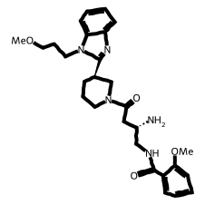 COCCCn1c([C@@H]2CCCN(C(=O)C[C@H](N)CNC(=O)c3ccccc3OC)C2)nc2ccccc21